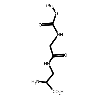 CC(C)(C)OC(=O)NCC(=O)NCC(N)C(=O)O